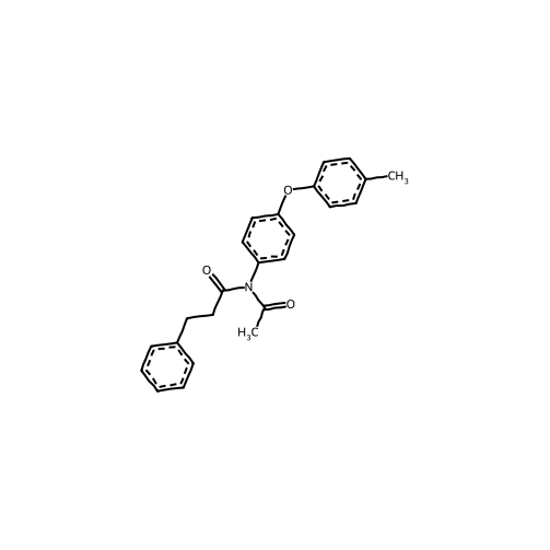 CC(=O)N(C(=O)CCc1ccccc1)c1ccc(Oc2ccc(C)cc2)cc1